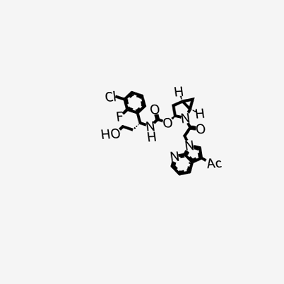 CC(=O)c1cn(CC(=O)N2[C@@H](OC(=O)N[C@H](CCO)c3cccc(Cl)c3F)C[C@H]3C[C@H]32)c2ncccc12